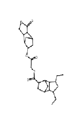 CCC1CC(CC)C2C3CC(CC3C(=O)OCC(=O)OC3CC4CC3C3COC(=O)C43)C12